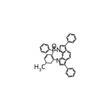 CC1C=CC2=C(C1)n1cc(-c3ccccc3)c3ccc4c(-c5ccccc5)cn(c4c31)P2(=O)c1ccccc1